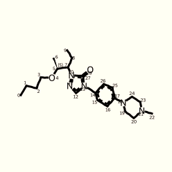 CCCCO[C@@H](C)C(CC)n1ncn(-c2ccc(N3CCN(C)CC3)cc2)c1=O